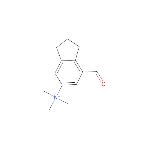 C[N+](C)(C)c1cc(C=O)c2c(c1)CCC2